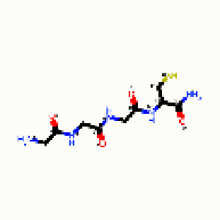 NCC(=O)NCC(=O)NCC(=O)NC(CS)C(N)=O